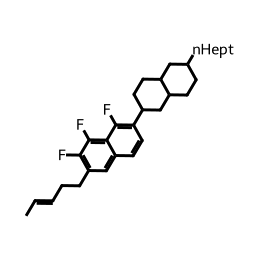 CC=CCCc1cc2ccc(C3CCC4CC(CCCCCCC)CCC4C3)c(F)c2c(F)c1F